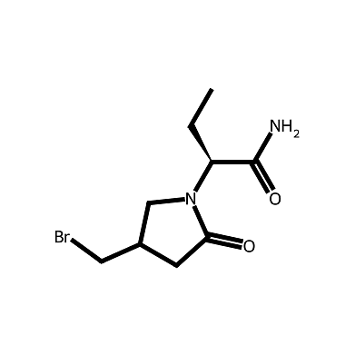 CC[C@@H](C(N)=O)N1CC(CBr)CC1=O